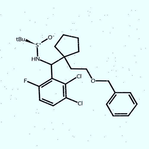 CC(C)(C)[S@@+]([O-])NC(c1c(F)ccc(Cl)c1Cl)C1(CCOCc2ccccc2)CCCC1